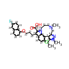 CCc1c2c(nn1C)CN(C)CCCn1c(C(=O)O)c(CCCOc3cccc4cc(F)ccc34)c3ccc(Cl)c-2c31